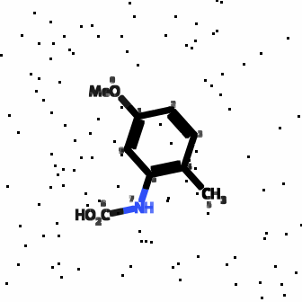 COc1ccc(C)c(NC(=O)O)c1